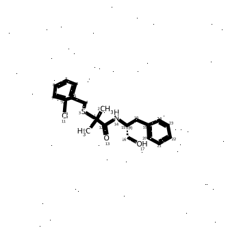 CC(C)(SCc1ccccc1Cl)C(=O)N[C@@H](CO)Cc1ccccc1